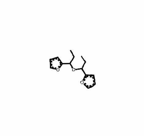 CCC(OC(CC)c1ccco1)c1ccco1